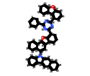 c1ccc(-c2nc(-c3cccc4c3oc3c5ccccc5c(-n5c6ccccc6c6cc7ccccc7cc65)cc43)nc(-c3cccc4oc5ccccc5c34)n2)cc1